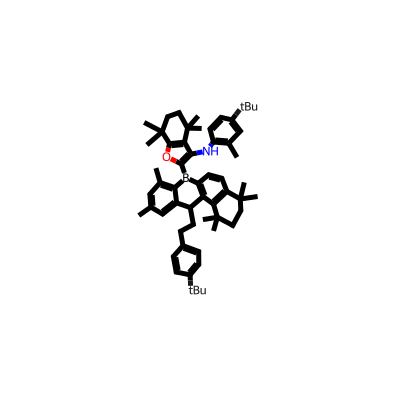 Cc1cc(C)c2c(c1)C(CCc1ccc(C(C)(C)C)cc1)c1c(ccc3c1C(C)(C)CCC3(C)C)B2c1oc2c(c1Nc1ccc(C(C)(C)C)cc1C)C(C)(C)CCC2(C)C